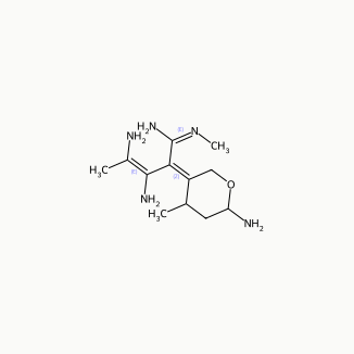 C\N=C(N)/C(=C1\COC(N)CC1C)C(/N)=C(/C)N